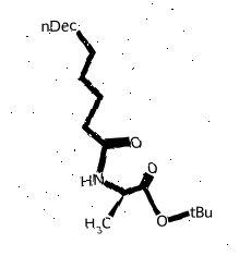 CCCCCCCCCCCCCCC(=O)N[C@H](C)C(=O)OC(C)(C)C